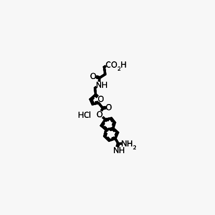 Cl.N=C(N)c1ccc2cc(OC(=O)c3ccc(CNC(=O)CCC(=O)O)o3)ccc2c1